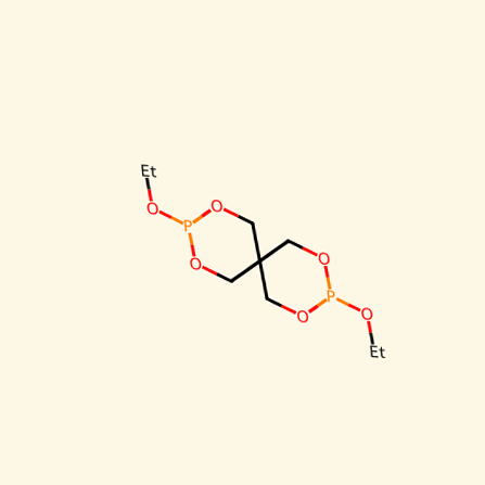 CCOP1OCC2(CO1)COP(OCC)OC2